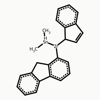 [CH3][SnH]([CH3])[Zr]([c]1cccc2c1Cc1ccccc1-2)[CH]1C=Cc2ccccc21